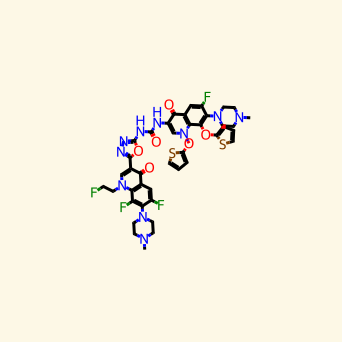 CN1CCN(c2c(F)cc3c(=O)c(-c4nnc(NC(=O)Nc5cn(Oc6cccs6)c6c(Oc7cccs7)c(N7CCN(C)CC7)c(F)cc6c5=O)o4)cn(CCF)c3c2F)CC1